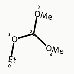 CCO[C](OC)OC